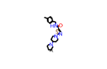 Cc1ccc(CNC(=O)c2cnc(N3CCC(N4CCC[C@@H](C)C4)CC3)s2)cc1